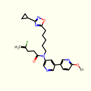 C=C(F)CCC(=O)N(CCCCCc1nc(C2CC2)no1)c1cncc(-c2ccc(OCC)nc2)c1